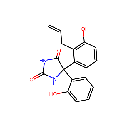 C=CCc1c(O)cccc1C1(c2ccccc2O)NC(=O)NC1=O